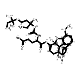 CCC(C)(C)OCCC(C)(CC)OC(=O)NC(CCC(=O)O)C(=O)OC1=CC[C@@]2(O)[C@@H]3CCC[C@@]24c2c(ccc(OC)c2O[C@@H]14)C3